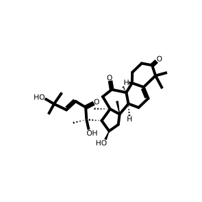 CC(C)(O)/C=C/C(=O)[C@](C)(O)[C@H]1[C@H](O)C[C@@]2(C)[C@@H]3CC=C4[C@@H](CCC(=O)C4(C)C)[C@]3(C)C(=O)C[C@]12C